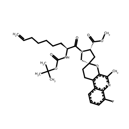 C=CCCCCC[C@H](NC(=O)OC(C)(C)C)C(=O)N1C[C@]2(CCc3c(c(C)nc4c(F)cccc34)O2)C[C@H]1C(=O)OC